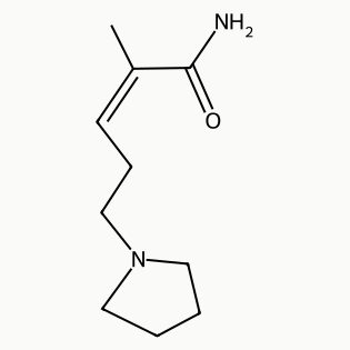 CC(=CCCN1CCCC1)C(N)=O